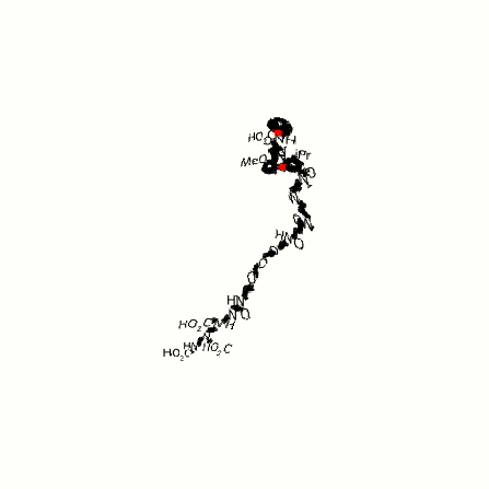 COc1cccc(OC)c1-c1cc(C(=O)NC2(C(=O)O)C3CC4CC(C3)CC2C4)nn1-c1ccc(C(=O)N(C)CCCN(C)CCCN(C)C(=O)CCC(=O)NCCCOCCOCCOCCCNC(=O)CNCCN(CCN(CCNCC(=O)O)CC(=O)O)CC(=O)O)cc1C(C)C